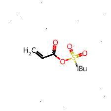 C=CC(=O)OS(=O)(=O)C(C)CC